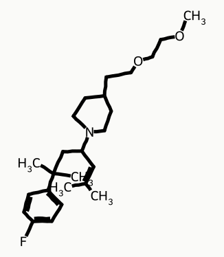 COCCOCCC1CCN(C(C=C(C)C)CC(C)(C)c2ccc(F)cc2)CC1